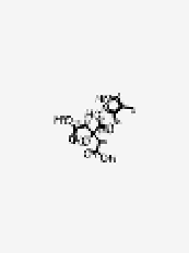 Cc1c[nH]nc1C.O=C(O)CC(O)(CC(=O)O)C(=O)O